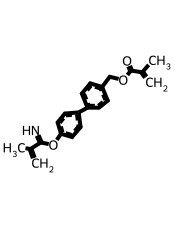 C=C(C)C(=N)Oc1ccc(-c2ccc(COC(=O)C(=C)C)cc2)cc1